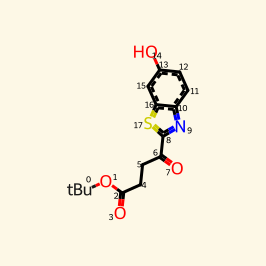 CC(C)(C)OC(=O)CCC(=O)c1nc2ccc(O)cc2s1